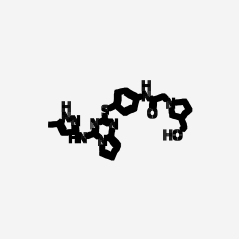 Cc1cc(Nc2nc(Sc3ccc(NC(=O)CN4CCC(CO)C4)cc3)nc3cccn23)n[nH]1